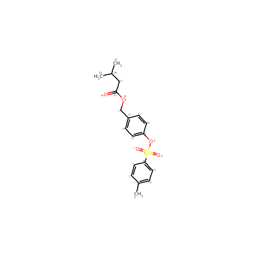 Cc1ccc(S(=O)(=O)Oc2ccc(COC(=O)CC(C)C)cc2)cc1